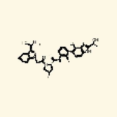 C[C@H](O)c1nc2c(Cl)c(-c3cccc(NC(=O)[C@@H]4C[C@@H](F)CN4C(=O)Cn4nc(C(N)O)c5ccccc54)c3F)ccc2[nH]1